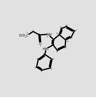 CCOC(=O)CC(=O)Nc1c(Nc2ccccc2)ccc2ccccc12